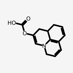 O=C(O)OC1=CN2CC=CC3=C2C(CC=C3)C1